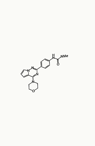 CNC(=O)Nc1ccc(-c2nc(N3CCOCC3)c3cccn3n2)cc1